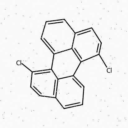 Clc1ccc2cccc3c4c(Cl)ccc5cccc(c1c23)c54